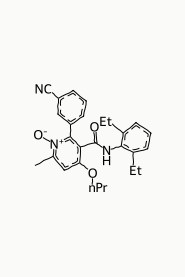 CCCOc1cc(C)[n+]([O-])c(-c2cccc(C#N)c2)c1C(=O)Nc1c(CC)cccc1CC